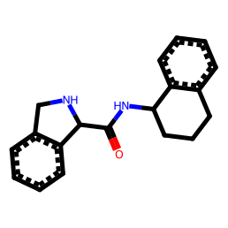 O=C(NC1CCCc2ccccc21)C1NCc2ccccc21